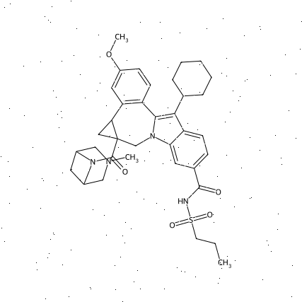 CCCS(=O)(=O)NC(=O)c1ccc2c(C3CCCCC3)c3n(c2c1)CC1(C(=O)N2C4CC2CN(C)C4)CC1c1cc(OC)ccc1-3